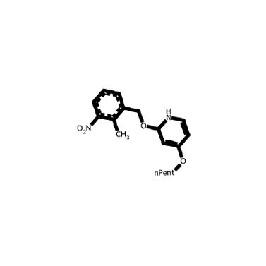 CCCCCOC1=CC(OCc2cccc([N+](=O)[O-])c2C)NC=C1